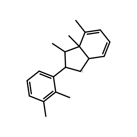 CC1=CC=CC2[C]C(c3cccc(C)c3C)C(C)C12C